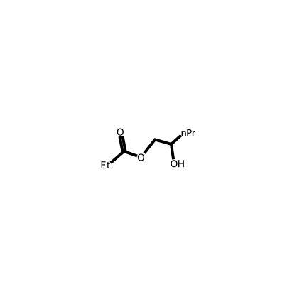 CCCC(O)COC(=O)CC